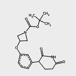 CC(C)(C)OC(=O)N1CC(Oc2cccc(C3CCC(=O)NC3=O)c2)C1